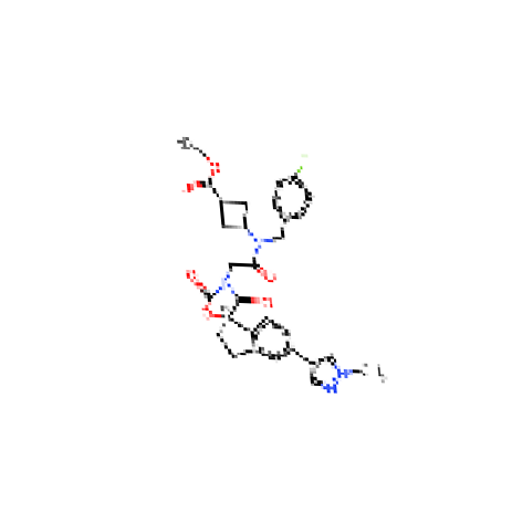 Cn1cc(-c2ccc3c(c2)CC[C@@]32OC(=O)N(CC(=O)N(Cc3ccc(F)cc3)C3CC(C(=O)OC(C)(C)C)C3)C2=O)cn1